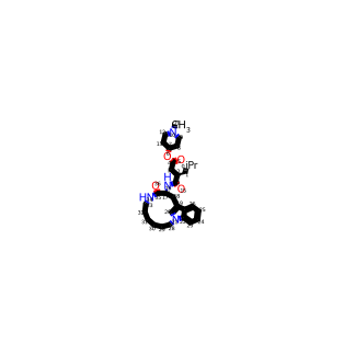 CC(C)C[C@H](CC(=O)OC1CCN(C)CC1)C(=O)N[C@H]1Cc2cn(c3ccccc23)CCCCCCNC1=O